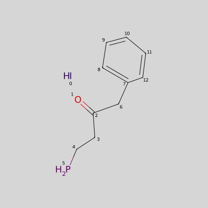 I.O=C(CCP)Cc1ccccc1